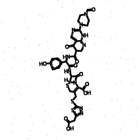 O=CN1CCN(C2=NC=C3C(=O)C(C(=O)NC(C(=O)NC4C(=O)N5C(C(=O)O)=C(CSc6nnc(CC(=O)O)s6)CS[C@@H]45)c4ccc(O)cc4)CN=C3N2)CC1